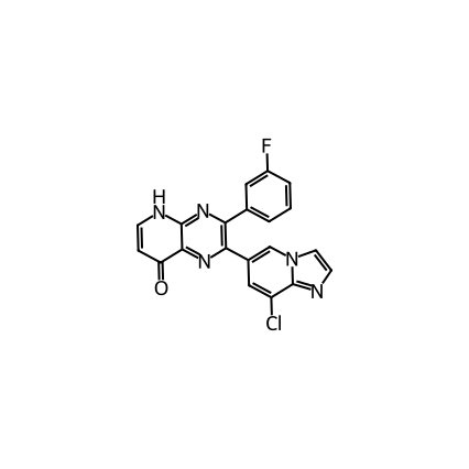 O=c1cc[nH]c2nc(-c3cccc(F)c3)c(-c3cc(Cl)c4nccn4c3)nc12